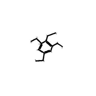 [CH2]Cc1c(CC)cc(CC)cc1CC